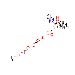 CCOCCOCCOCCOCCOCCOCCOC(=O)CCc1cc(-n2n3c4ccccc4n23)c(O)c(C(C)(C)C)c1